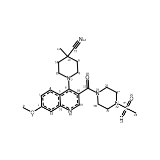 COc1ccc2c(N3CCC(C)(C#N)CC3)c(C(=O)N3CCN(S(C)(=O)=O)CC3)cnc2c1